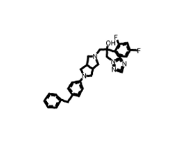 OC(CN1CC2CN(c3ccc(Cc4ccccc4)cc3)CC2C1)(Cn1cncn1)c1ccc(F)cc1F